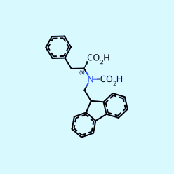 O=C(O)[C@H](Cc1ccccc1)N(CC1c2ccccc2-c2ccccc21)C(=O)O